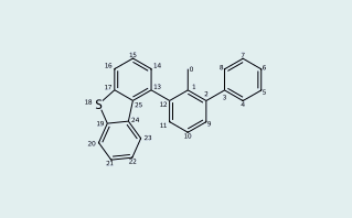 Cc1c(-c2ccccc2)cccc1-c1cccc2sc3ccccc3c12